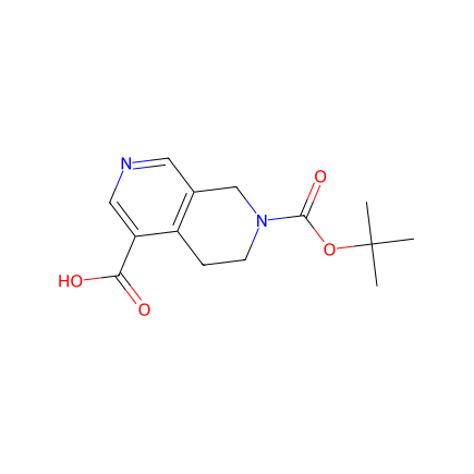 CC(C)(C)OC(=O)N1CCc2c(cncc2C(=O)O)C1